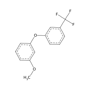 COc1cccc(Oc2cccc(C(F)(F)F)c2)c1